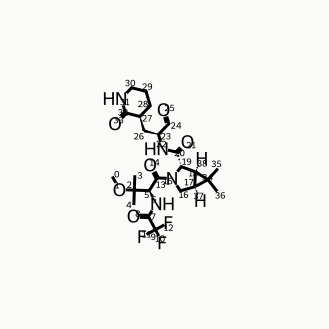 COC(C)(C)[C@H](NC(=O)C(F)(F)F)C(=O)N1C[C@H]2[C@@H]([C@H]1C(=O)N[C@H](C=O)C[C@@H]1CCCNC1=O)C2(C)C